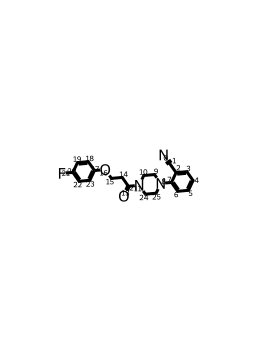 N#Cc1ccccc1N1CCN(C(=O)CCOc2ccc(F)cc2)CC1